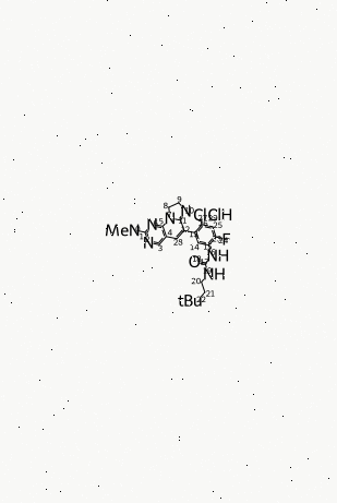 CNc1ncc2c(n1)N1CCN=C1C(c1cc(NC(=O)NCCC(C)(C)C)c(F)cc1Cl)=C2.Cl